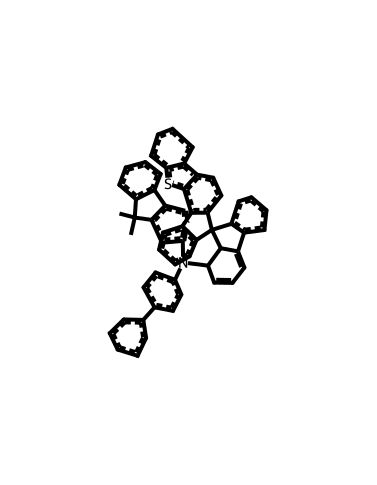 CC1(C)c2ccccc2-c2ccc(N(c3ccc(-c4ccccc4)cc3)C3C=CC=C4c5ccccc5C5(c6ccccc6-c6c5ccc5c6sc6ccccc65)C43)cc21